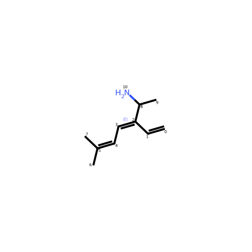 C=C/C(=C\C=C(C)C)C(C)N